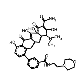 CN(C)[C@@H]1C(O)=C(C(N)=O)C(=O)[C@@]2(O)C(O)=C3C(=O)c4c(O)ccc(-c5cccc(C(=O)NCCN6CCOCC6)c5)c4CC3CC12